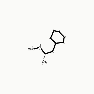 C[C@@H](CC1CCCCC1)NC=O